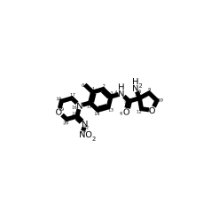 Cc1cc(NC(=O)C2(N)CCOC2)ccc1N1CCOCC1=N[N+](=O)[O-]